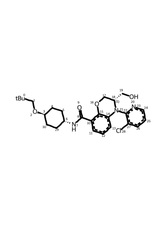 CC(C)(C)CO[C@H]1CC[C@H](NC(=O)c2cccc3c2OC[C@H](CO)N3c2ncccc2Cl)CC1